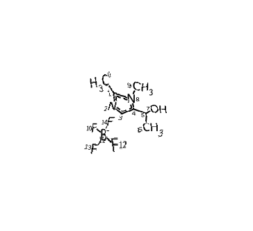 Cc1ncc(C(C)O)n1C.F[B-](F)(F)F